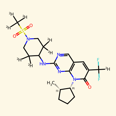 [2H]C(F)(F)c1cc2cnc(NC3C([2H])([2H])CN(S(=O)(=O)C([2H])([2H])[2H])CC3([2H])[2H])nc2n([C@@H]2CCC[C@@H]2C)c1=O